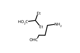 CCC(CC)C(=O)O.NCCCC=O